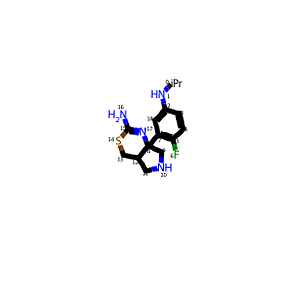 CC(C)Nc1ccc(F)c(C23CNCC2CSC(N)=N3)c1